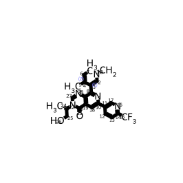 C=N/C=C(\C(C)=C/C)c1nc(-c2ccc(C(F)(F)F)nc2)cc2c(=O)n([C@@H](C)CO)cnc12